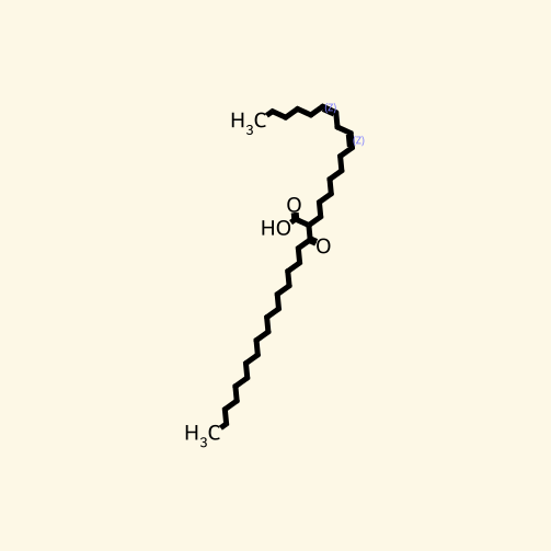 CCCCC/C=C\C/C=C\CCCCCCC(C(=O)O)C(=O)CCCCCCCCCCCCCCCCC